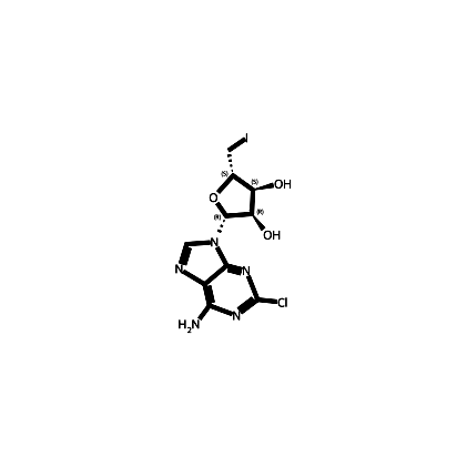 Nc1nc(Cl)nc2c1ncn2[C@@H]1O[C@H](CI)[C@@H](O)[C@H]1O